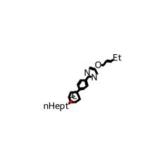 CCC=CCOc1cnc(-c2ccc(C34CCC(CCCCCCC)(CC3)CC4)cc2)nc1